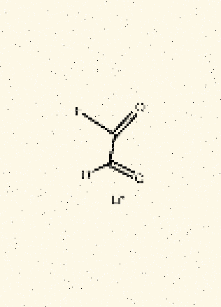 O=C([O-])C(=O)F.[Li+]